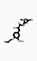 CCc1nn(C)/c(=N\C(=O)/C(C#N)=C/c2ccc(OCCCl)c(OC)c2)s1